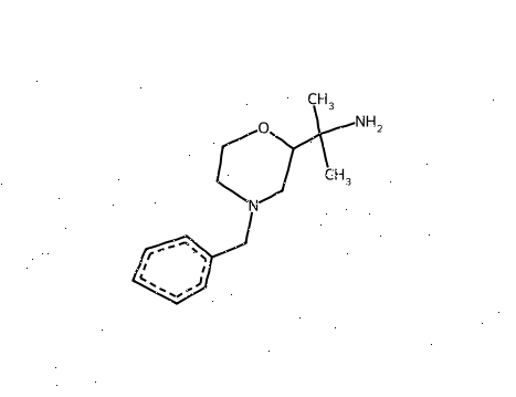 CC(C)(N)C1CN(Cc2ccccc2)CCO1